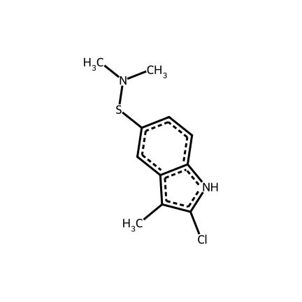 Cc1c(Cl)[nH]c2ccc(SN(C)C)cc12